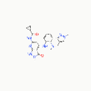 CN1Cc2cn(C)nc2-c2cccc(Nc3cc(NC(=O)C4CC4)nc4[nH]n(C)c(=O)c34)c21